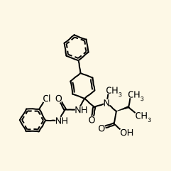 CC(C)[C@@H](C(=O)O)N(C)C(=O)C1(NC(=O)Nc2ccccc2Cl)C=CC(c2ccccc2)C=C1